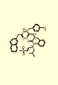 COc1ccc(C[C@H](NC(=O)Cc2ccc3ccccc3c2)C(=O)N[C@@H](Cc2ccccc2)C(=O)N[C@H](/C=C/S(C)(=O)=O)CC(C)C)cc1